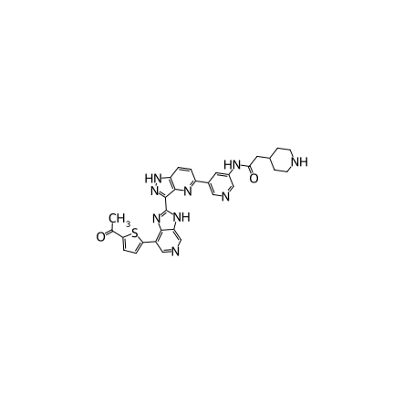 CC(=O)c1ccc(-c2cncc3[nH]c(-c4n[nH]c5ccc(-c6cncc(NC(=O)CC7CCNCC7)c6)nc45)nc23)s1